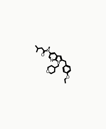 CCOc1ccc(Cc2cc3cc(N(C)C(=O)CC(C)C)cnc3n2CC2CCOCC2)cc1